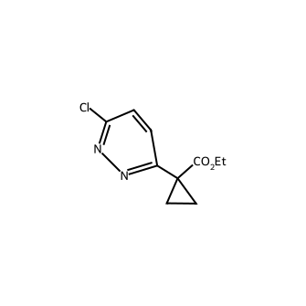 CCOC(=O)C1(c2ccc(Cl)nn2)CC1